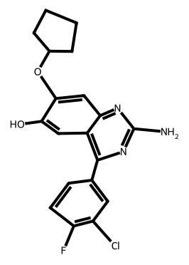 Nc1nc(-c2ccc(F)c(Cl)c2)c2cc(O)c(OC3CCCC3)cc2n1